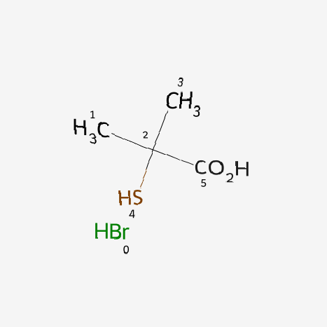 Br.CC(C)(S)C(=O)O